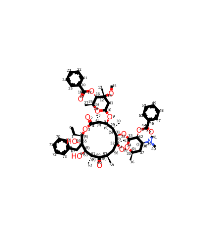 CC[C@H]1OC(=O)[C@H](C)[C@@H](OC2C[C@@](C)(OC)[C@@H](OC(=O)c3ccccc3)[C@H](C)O2)[C@H](C)[C@@H](OC2O[C@H](C)C[C@H](N(C)C)[C@H]2OC(=O)c2ccccc2)[C@@](C)(OC)C[C@@H](C)C(=O)[C@H](C)[C@@H](O)[C@@]1(O)Cc1ccccc1